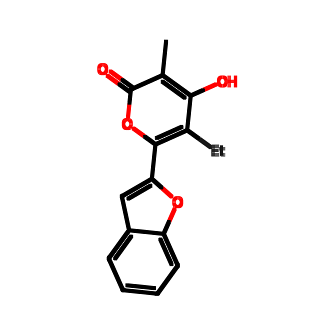 CCc1c(-c2cc3ccccc3o2)oc(=O)c(C)c1O